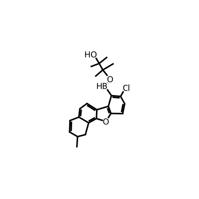 CC1C=Cc2ccc3c(oc4ccc(Cl)c(BOC(C)(C)C(C)(C)O)c43)c2C1